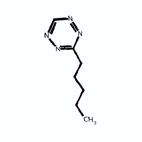 CCCCCc1nncnn1